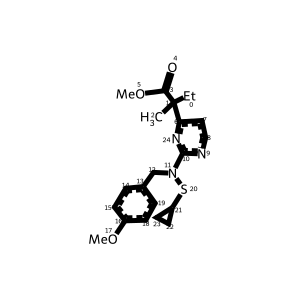 CCC(C)(C(=O)OC)c1ccnc(N(Cc2ccc(OC)cc2)SC2CC2)n1